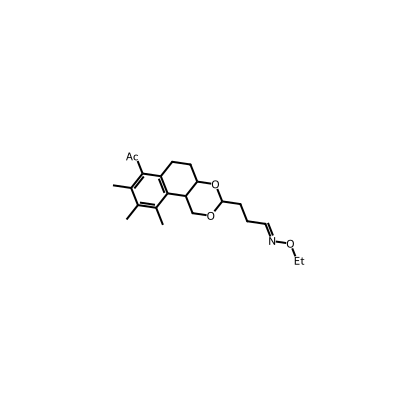 CCON=CCCC1OCC2c3c(C)c(C)c(C)c(C(C)=O)c3CCC2O1